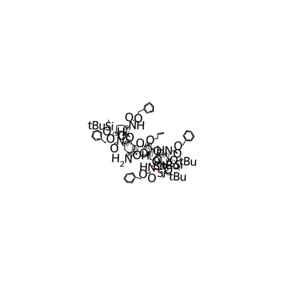 C=CCO[C@H]1[C@H](O[C@@H]2[C@@H](O)[C@H](N)C[C@H](NC(=O)OCc3ccccc3)[C@H]2O[C@H]2O[C@H](CO[Si](C)(C)C(C)(C)C)CC[C@H]2NC(=O)OCc2ccccc2)O[C@H](CO[Si](C)(C)C(C)(C)C)[C@H]1O[C@H]1O[C@@H](CNC(=O)OCc2ccccc2)[C@@H](O[Si](C)(C)C(C)(C)C)[C@H](O[Si](C)(C)C(C)(C)C)[C@H]1NC(=O)OCc1ccccc1